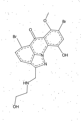 COc1c(Br)cc(O)c2c1c(=O)c1c(Br)ccc3c(CNCCO)nn2c31